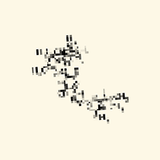 Cc1cc(-c2nnc(-c3cc(F)c(OC[C@H]4[C@@H](C)OC(C)(C)N4C(=O)OC(C)(C)C)cc3Cl)s2)cc(NC(C)C)n1